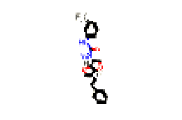 O=C(Nc1cccc(C(F)(F)F)c1)N[C@H]1CO[C@@H]2[C@@H](CCc3ccccc3)CO[C@@H]21